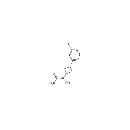 NC(=O)N(O)C1CC(c2cccc(F)c2)C1